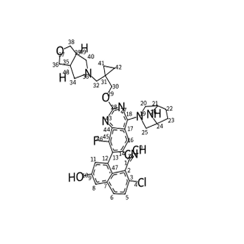 C#Cc1c(Cl)ccc2cc(O)cc(-c3c(C#N)cc4c(N5CC6CCC(C5)N6)nc(OCC5(CN6C[C@H]7COC[C@H]7C6)CC5)nc4c3F)c12